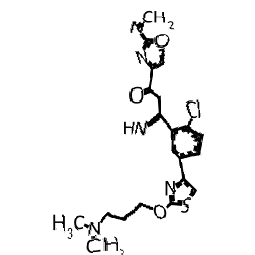 C=Nc1nc(C(=O)CC(=N)c2cc(-c3csc(OCCCN(C)C)n3)ccc2Cl)co1